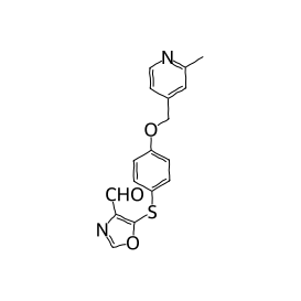 Cc1cc(COc2ccc(Sc3ocnc3C=O)cc2)ccn1